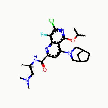 CC(C)Oc1nc(Cl)c(F)c2nc(C(=O)N[C@H](C)CN(C)C)cc(N3CC4CCC(C4)C3)c12